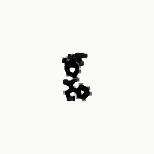 COC(=O)C1(N=O)CC2CC(OC(=O)C(CO)c3ccccc3)CC1[N+]2(C)C(C)C